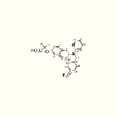 CC(C)(Oc1ccc(CCN(Cc2ccc(C(F)(F)F)cc2C(F)(F)F)c2ncccn2)cc1)C(=O)O